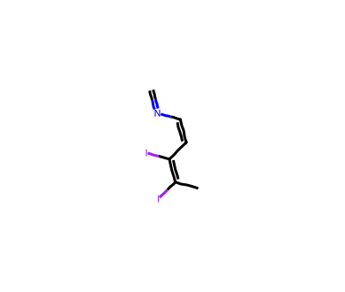 C=N/C=C\C(I)=C(/C)I